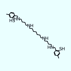 Cc1ccc(CNCCCCNCCCCCCCNCCCCNCc2ccc(C)cc2S)c(S)c1